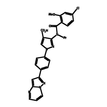 COc1cc(Cl)ccc1C(=O)N(c1nn(-c2ccc(-c3cc4ncccn4n3)cc2)cc1C(=O)O)C(C)C